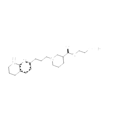 O=C(O)CCNC(=O)C1CCCN(CCCc2ccc3c(n2)NCCC3)C1